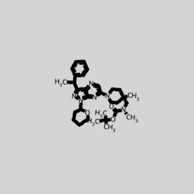 CC(c1ccccc1)c1nn(C2CCCCO2)c2nc(N3CCC(C)(CN(C)C(=O)OC(C)(C)C)CC3)cnc12